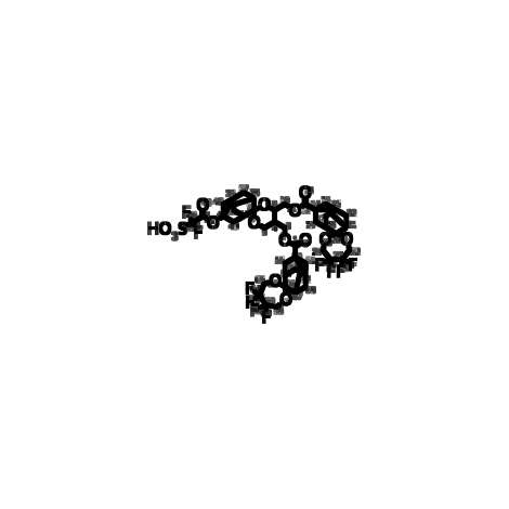 O=C(OCC1COC2(OC1COC(=O)C13CC4CC(C1)C1(OCC(F)(F)C(F)(F)CO1)C(C4)C3)C1CC3CC2CC(OC(=O)C(F)(F)S(=O)(=O)O)(C3)C1)C12CC3CC(C1)C1(OCC(F)(F)C(F)(F)CO1)C(C3)C2